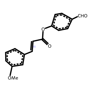 COc1cccc(/C=C/C(=O)Oc2ccc(C=O)cc2)c1